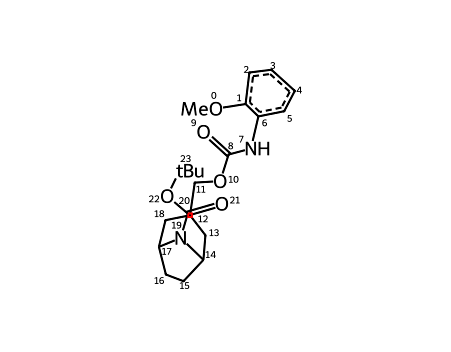 COc1ccccc1NC(=O)OCC1CC2CCC(C1)N2C(=O)OC(C)(C)C